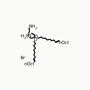 CCCCCCCCC=CCCCCCCCCOC1(OCCCCCCCCC=CCCCCCCCC)CC[N+](C)(CCCN)CC1.[Br-]